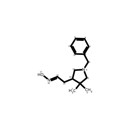 CC1(C)CN(Cc2ccccc2)CC1CC=NO